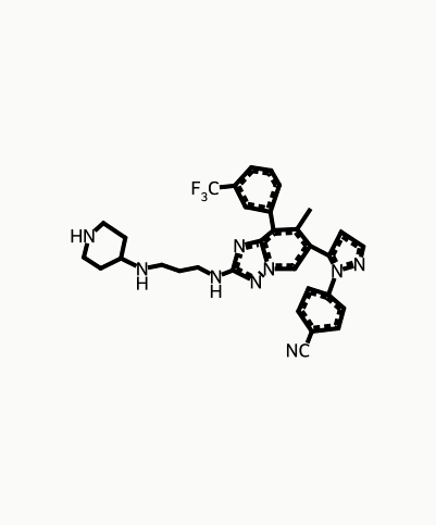 Cc1c(-c2ccnn2-c2ccc(C#N)cc2)cn2nc(NCCCNC3CCNCC3)nc2c1-c1cccc(C(F)(F)F)c1